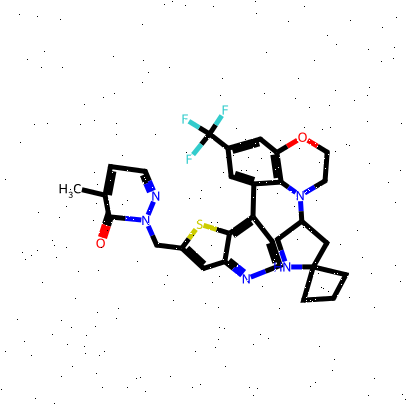 Cc1ccnn(Cc2cc3nccc(-c4cc(C(F)(F)F)cc5c4N(C4CNC6(CCC6)C4)CCO5)c3s2)c1=O